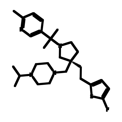 Cc1ccc(C(C)(C)N2CC[C@@](CCc3ccc(F)s3)(CN3CCN(C(C)C)CC3)C2)cn1